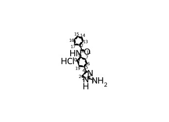 Cl.Nc1nc(-c2ccc(NC(=O)c3ccccc3)cc2)c[nH]1